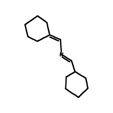 C(=NC=C1CCCCC1)C1CCCCC1